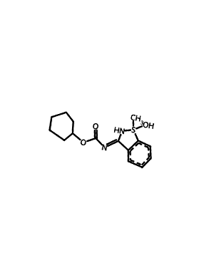 CS1(O)NC(=NC(=O)OC2CCCCC2)c2ccccc21